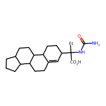 CCC(NC(N)=O)(C(=O)O)C1C=C2CCC3C4CCCC4CCC3C2CC1